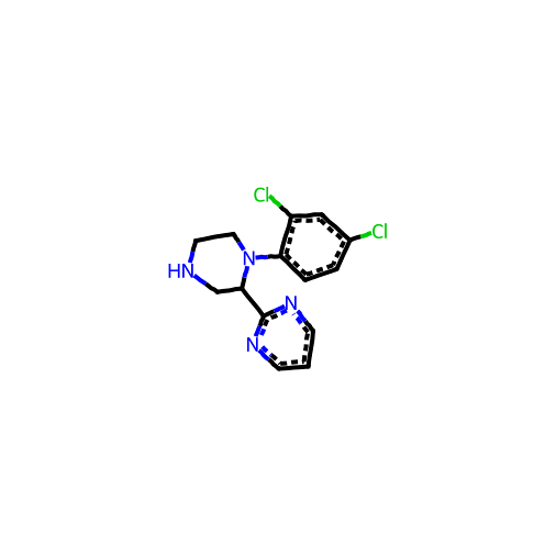 Clc1ccc(N2CCNCC2c2ncccn2)c(Cl)c1